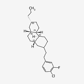 CCC[C@@H]1CC[C@H]2[C@H](CC[C@H]3CC(CCc4ccc(Cl)c(F)c4)CC[C@@H]32)C1